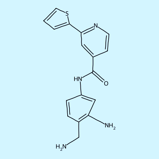 NCc1ccc(NC(=O)c2ccnc(-c3cccs3)c2)cc1N